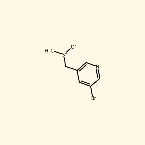 C[S+]([O-])Cc1cncc(Br)c1